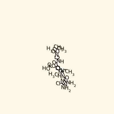 CCn1c(CNC(=O)c2nc(Cl)c(N)nc2N)[n+](CC)c2cc(C(=O)NC3CCN(C(=O)OC(C)(C)C)CC3)c(OCC(=O)O)cc21